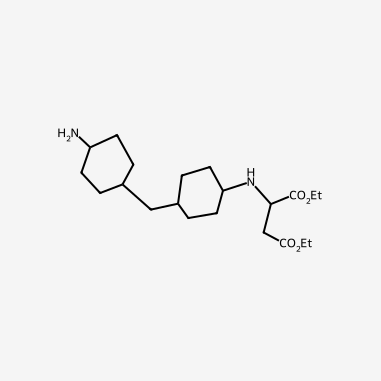 CCOC(=O)CC(NC1CCC(CC2CCC(N)CC2)CC1)C(=O)OCC